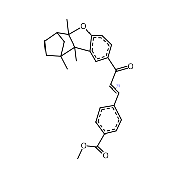 COC(=O)c1ccc(/C=C/C(=O)c2ccc3c(c2)C2(C)C4(C)CCC(C4)C2(C)O3)cc1